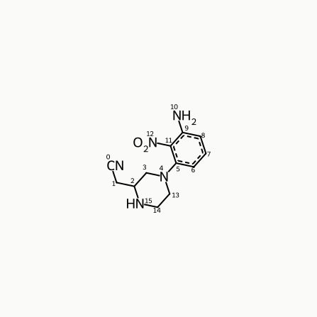 N#CCC1CN(c2cccc(N)c2[N+](=O)[O-])CCN1